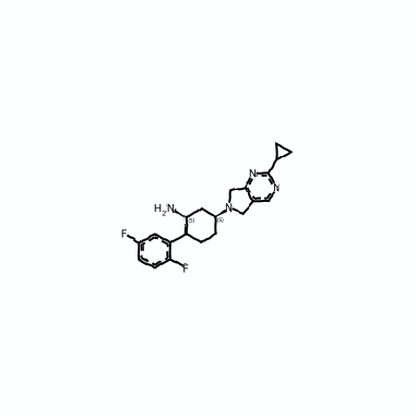 N[C@H]1C[C@@H](N2Cc3cnc(C4CC4)nc3C2)CCC1c1cc(F)ccc1F